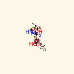 CC(=O)NN.CCCC(=O)O.CCCCOP(=O)(O)OCCCC